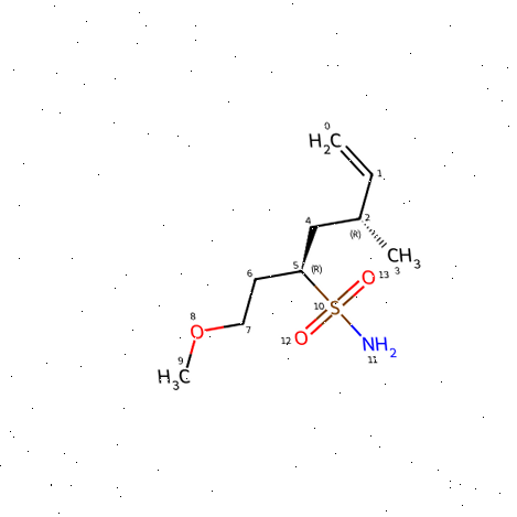 C=C[C@H](C)C[C@H](CCOC)S(N)(=O)=O